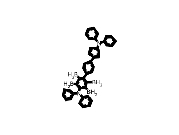 Bc1c(B)c(N(c2ccccc2)c2ccccc2)c(B)c(B)c1-c1ccc(-c2ccc(N(c3ccccc3)c3ccccc3)cc2)cc1